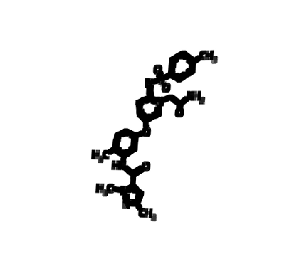 Cc1ccc(S(=O)(=O)/N=c2/ccc(Oc3ccc(C)c(NC(=O)c4cc(C)nn4C)c3)cn2CC(N)=O)cc1